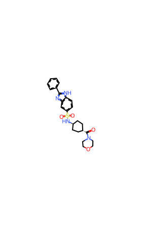 O=C([C@H]1CC[C@H](NS(=O)(=O)c2ccc3[nH]c(-c4ccccc4)nc3c2)CC1)N1CCOCC1